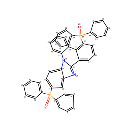 O=P(c1ccccc1)(c1ccccc1)c1ccc2c(c1)nc1c3cccc(P(=O)(c4ccccc4)c4ccccc4)c3c3ccccc3n21